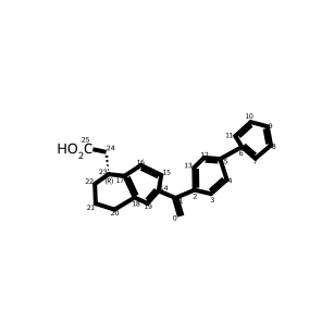 C=C(c1ccc(-c2ccccc2)cc1)c1ccc2c(c1)CCC[C@@H]2CC(=O)O